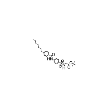 CCCCCCCc1ccc(C(=O)Nc2ccc(S(=O)(=O)NCC(=O)OC(C)(C)C)cc2)cc1